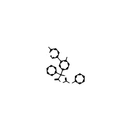 O=C1NC(Nc2ccccc2)=NC1(c1cc[c]cc1)c1ccc(F)c(-c2ccc(F)nc2)c1